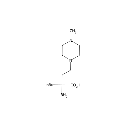 BC(CCCC)(CCN1CCN(C)CC1)C(=O)O